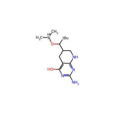 C[SiH](C)OC(C1CNc2nc(N)nc(O)c2C1)C(C)(C)C